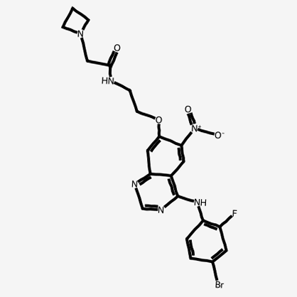 O=C(CN1CCC1)NCCOc1cc2ncnc(Nc3ccc(Br)cc3F)c2cc1[N+](=O)[O-]